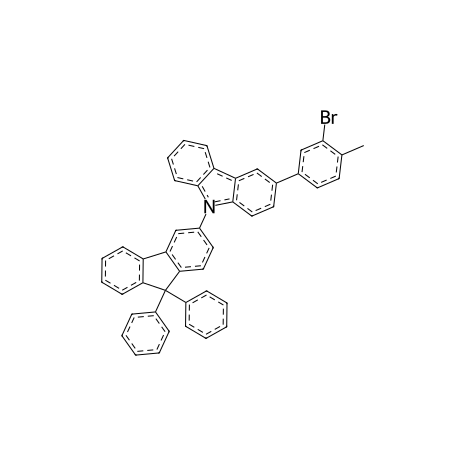 Cc1ccc(-c2ccc3c(c2)c2ccccc2n3-c2ccc3c(c2)-c2ccccc2C3(c2ccccc2)c2ccccc2)cc1Br